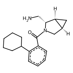 NC[C@@H]1[C@H]2C[C@H]2CN1C(=O)c1ccccc1C1CCCCC1